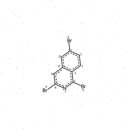 Brc1ccc2c(Br)nc(Br)cc2c1